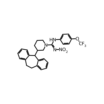 O=[N+]([O-])N=C(Nc1ccc(OC(F)(F)F)cc1)N1CCCC(C2c3ccccc3CCc3ccccc32)C1